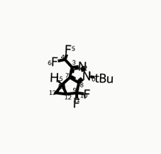 CC(C)(C)n1nc(C(F)F)c2c1C(F)(F)C1C[C@H]21